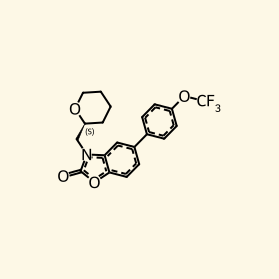 O=c1oc2ccc(-c3ccc(OC(F)(F)F)cc3)cc2n1C[C@@H]1CCCCO1